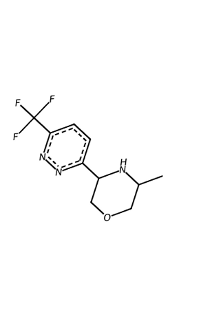 CC1COCC(c2ccc(C(F)(F)F)nn2)N1